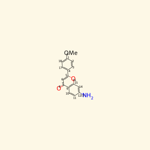 COc1ccc(-c2cc(=O)c3ccc(N)cc3o2)cc1